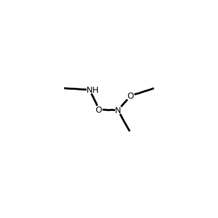 CNON(C)OC